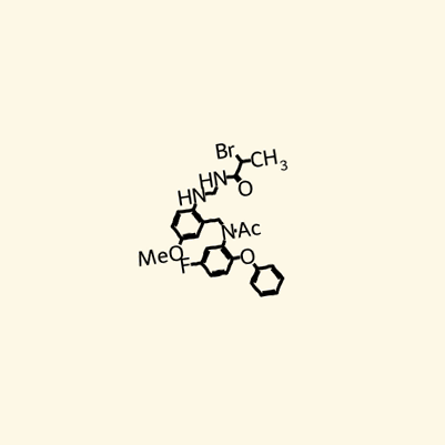 COc1ccc(NCNC(=O)C(C)Br)c(CN(C(C)=O)c2cc(F)ccc2Oc2ccccc2)c1